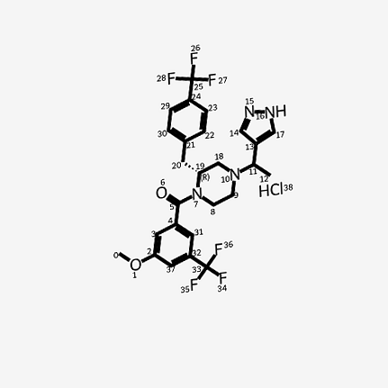 COc1cc(C(=O)N2CCN(C(C)c3cn[nH]c3)C[C@H]2Cc2ccc(C(F)(F)F)cc2)cc(C(F)(F)F)c1.Cl